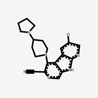 N#Cc1ncc2[nH]c3ncc(Cl)cc3c2c1N1CCC(N2CCCC2)CC1